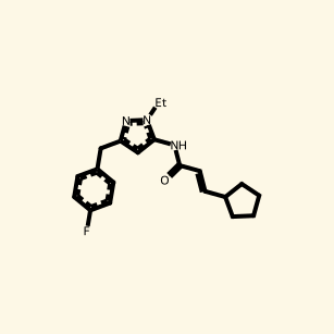 CCn1nc(Cc2ccc(F)cc2)cc1NC(=O)C=CC1CCCC1